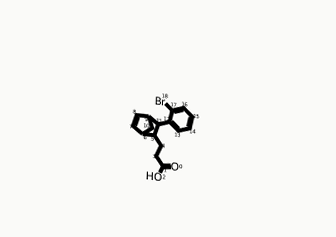 O=C(O)CCC1C2C=CC(C2)C1c1ccccc1Br